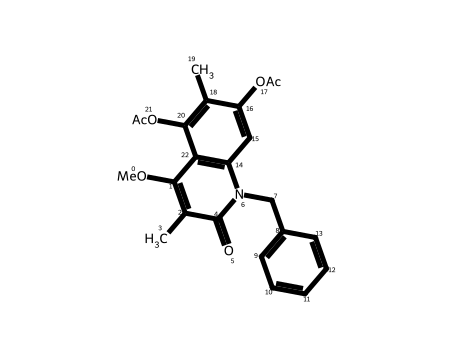 COc1c(C)c(=O)n(Cc2ccccc2)c2cc(OC(C)=O)c(C)c(OC(C)=O)c12